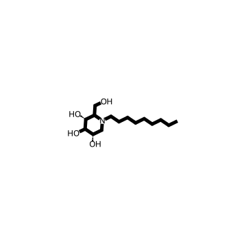 CCCCCCCCCN1C[C@H](O)C(O)[C@H](O)C1CO